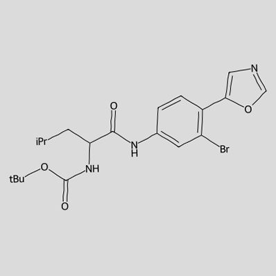 CC(C)CC(NC(=O)OC(C)(C)C)C(=O)Nc1ccc(-c2cnco2)c(Br)c1